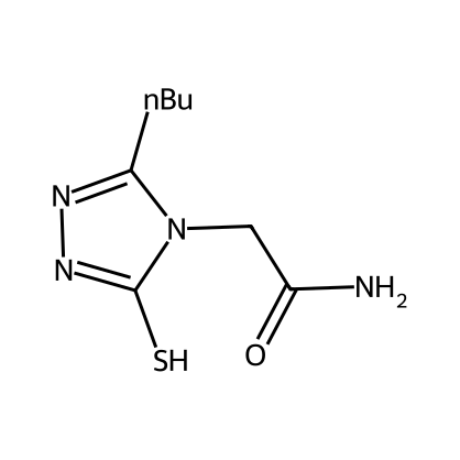 CCCCc1nnc(S)n1CC(N)=O